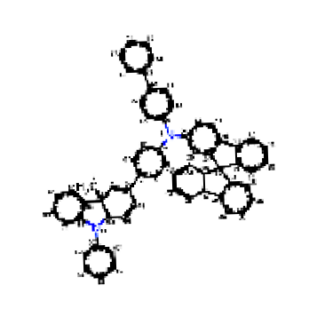 CC12C=C(c3ccc(N(c4ccc(-c5ccccc5)cc4)c4ccc5c(c4)C4(c6ccccc6-5)c5ccccc5C5C=CC=CC54)cc3)C=CC1N(c1ccccc1)c1ccccc12